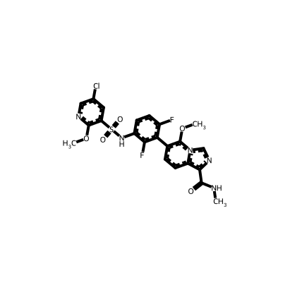 CNC(=O)c1ncn2c(OC)c(-c3c(F)ccc(NS(=O)(=O)c4cc(Cl)cnc4OC)c3F)ccc12